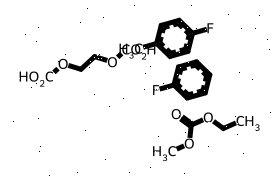 CCOC(=O)OC.Cc1ccc(F)cc1.Fc1ccccc1.O=C(O)OCCOC(=O)O